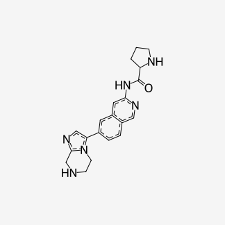 O=C(Nc1cc2cc(-c3cnc4n3CCNC4)ccc2cn1)C1CCCN1